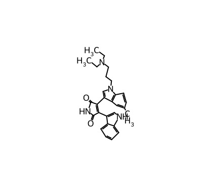 CCN(CC)CCCn1cc(C2=C(c3c[nH]c4ccccc34)C(=O)NC2=O)c2cc(C)ccc21